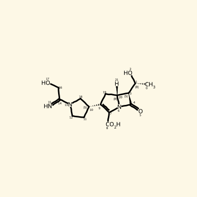 C[C@@H](O)[C@H]1C(=O)N2C(C(=O)O)=C([C@@H]3CCN(C(=N)CO)C3)C[C@H]12